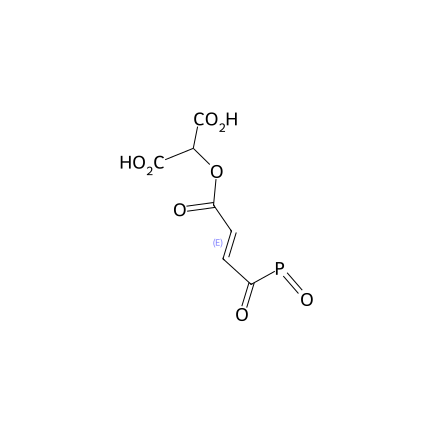 O=PC(=O)/C=C/C(=O)OC(C(=O)O)C(=O)O